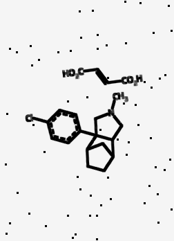 CN1CC2C3CCC(C3)C2(c2ccc(Cl)cc2)C1.O=C(O)/C=C/C(=O)O